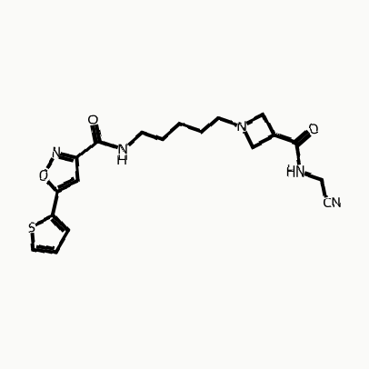 N#CCNC(=O)C1CN(CCCCCNC(=O)c2cc(-c3cccs3)on2)C1